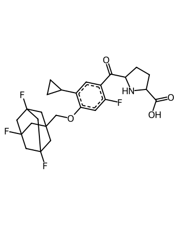 O=C(O)C1CCC(C(=O)c2cc(C3CC3)c(OCC34CC5(F)CC(F)(CC(F)(C5)C3)C4)cc2F)N1